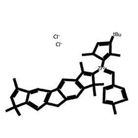 CC1=CC(C)(C)c2cc3c(cc21)-c1cc2c(cc1C3)C(C)(C)[C]([Zr+2](=[CH]c1ccc(C)cc1)[C]1=C(C)C(C(C)(C)C)=CC1C)=C2C.[Cl-].[Cl-]